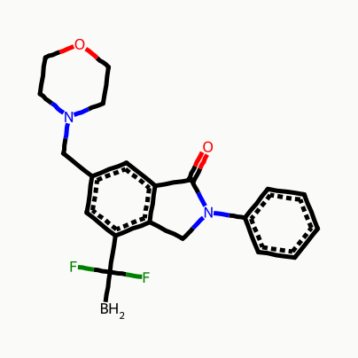 BC(F)(F)c1cc(CN2CCOCC2)cc2c1CN(c1ccccc1)C2=O